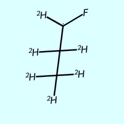 [2H][C](F)C([2H])([2H])C([2H])([2H])[2H]